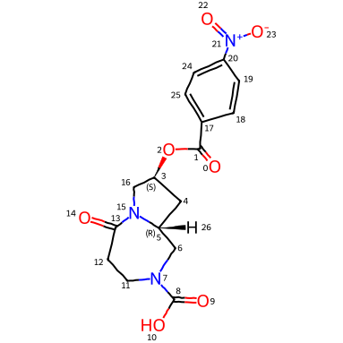 O=C(O[C@H]1C[C@@H]2CN(C(=O)O)CCC(=O)N2C1)c1ccc([N+](=O)[O-])cc1